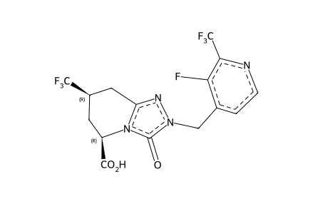 O=C(O)[C@H]1C[C@@H](C(F)(F)F)Cc2nn(Cc3ccnc(C(F)(F)F)c3F)c(=O)n21